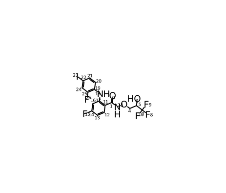 O=C(NOCC(O)C(F)(F)F)c1ccc(F)cc1Nc1ccc(I)cc1F